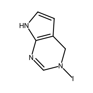 IN1C=Nc2[nH]ccc2C1